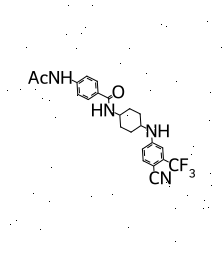 CC(=O)Nc1ccc(C(=O)NC2CCC(Nc3ccc(C#N)c(C(F)(F)F)c3)CC2)cc1